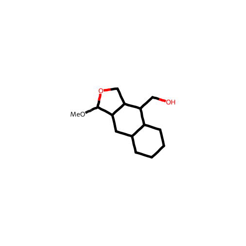 COC1OCC2C1CC1CCCCC1C2CO